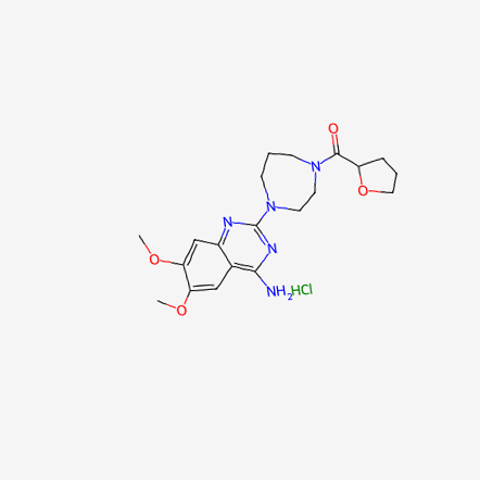 COc1cc2nc(N3CCCN(C(=O)C4CCCO4)CC3)nc(N)c2cc1OC.Cl